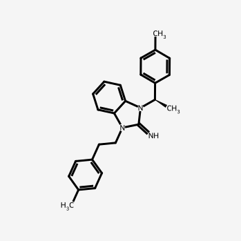 Cc1ccc(CCn2c(=N)n([C@H](C)c3ccc(C)cc3)c3ccccc32)cc1